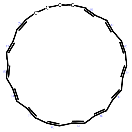 [C]1=C/C=C/C=C\C=C\C=C\C=C\C=C\C=C/C=C/C=C/C=C/C=C/C=C\CCCC/1